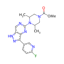 COC(=O)N1CC(C)N(c2ncc3[nH]nc(-c4ccc(F)nc4)c3n2)C(C)C1